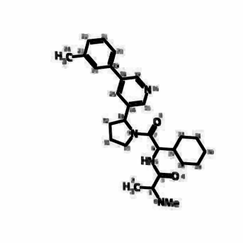 CNC(C)C(=O)NC(C(=O)N1CCCC1c1cncc(-c2cccc(C)c2)c1)C1CCCCC1